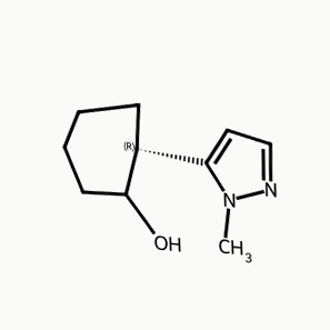 Cn1nccc1[C@H]1CCCCC1O